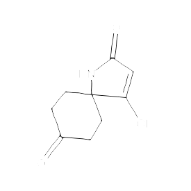 O=C1CCC2(CC1)NC(=O)C=C2O